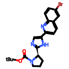 CC(C)(C)OC(=O)N1CCC[C@H]1c1ncc(-c2ccc3cc(Br)ccc3n2)[nH]1